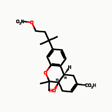 CC(C)(CCO[N+](=O)[O-])c1ccc2c(c1)OC(C)(C)[C@@]1(O)CC=C(C(=O)O)C[C@H]21